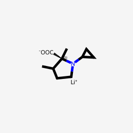 CC1CCN(C2CC2)[C@]1(C)C(=O)[O-].[Li+]